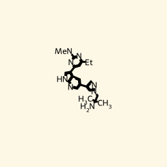 CCc1cc(-c2c[nH]c3ncc(-c4cnn(CC(C)(C)N)c4)cc23)nc(NC)n1